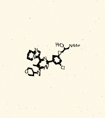 CNCC(O)COc1cc(Cl)cc(-c2nc(-c3cnc4ccccn34)c(C)c(N(C)C3CCOCC3)n2)c1